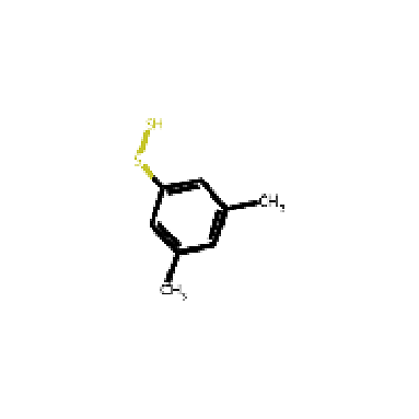 Cc1cc(C)cc(SS)c1